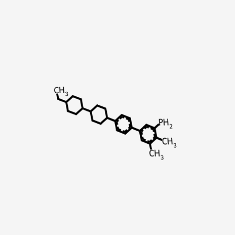 CCC1CCC(C2CCC(c3ccc(-c4cc(C)c(C)c(P)c4)cc3)CC2)CC1